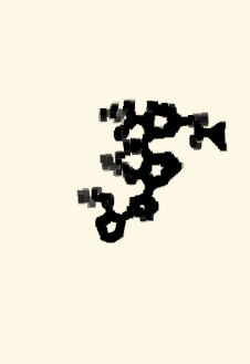 COc1c(Nc2cc(NC(=O)C3CC3)nnc2C(N)=O)cccc1-c1cnn([C@H]2CCC[C@H]2OC)c1